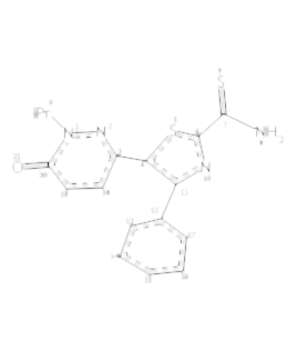 CC(C)n1nc(-c2sc(C(N)=S)nc2-c2ccccc2)ccc1=O